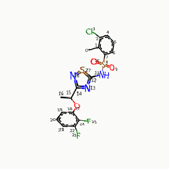 Cc1c(Cl)cccc1S(=O)(=O)Nc1nc(C(C)Oc2cccc(F)c2F)ns1